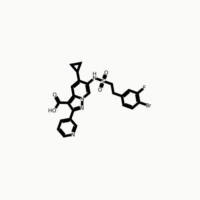 O=C(O)c1c(-c2cccnc2)nn2cc(NS(=O)(=O)CCc3ccc(Br)c(F)c3)c(C3CC3)cc12